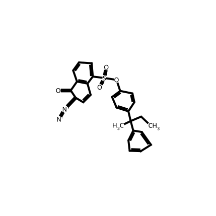 CCC(C)(c1cc[c]cc1)c1ccc(OS(=O)(=O)c2cccc3c2C=CC(=[N+]=[N-])C3=O)cc1